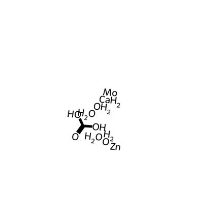 O.O.O.O.O=C(O)O.[CaH2].[Mo].[Zn]